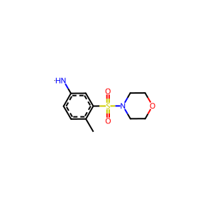 Cc1ccc([NH])cc1S(=O)(=O)N1CCOCC1